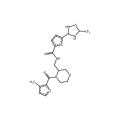 Cc1ccsc1C(=O)N1CCOCC1CNC(=O)c1ccc(C2NOC(C(F)(F)F)N2)s1